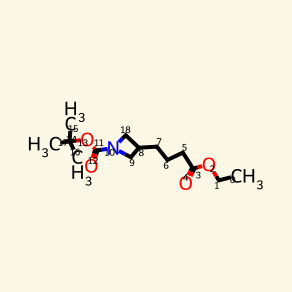 CCOC(=O)CCCC1CN(C(=O)OC(C)(C)C)C1